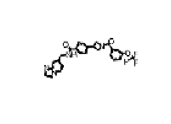 O=C(NCc1ccn2ccnc2c1)c1ccc(C2CN(C(=O)c3cccc(OC(F)(F)F)c3)C2)cc1